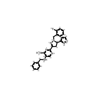 Nc1nc(C2=NN(Cc3ccccc3F)C(c3ccon3)C2)ncc1NCc1ccccc1